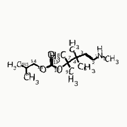 CN/C=C/C(C)(C)C(C)(C)OC(=O)OCC(C)C